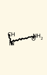 C#CCCCC1(CCC=CCC=CCC=CCCCC(N)=O)N=N1